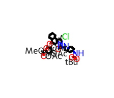 COC(=O)[C@H]1O[C@H](Oc2cc3c(c4ccccc24)[C@H](CCl)CN3C(=O)c2cc3cc(NC(=O)OC(C)(C)C)ccc3[nH]2)[C@H](OC(C)=O)[C@@H](OC(C)=O)[C@@H]1OC(C)=O